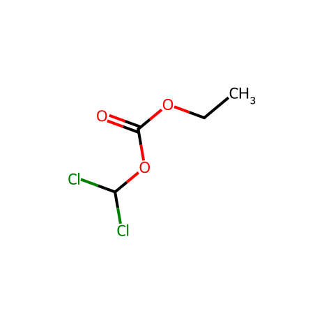 CCOC(=O)OC(Cl)Cl